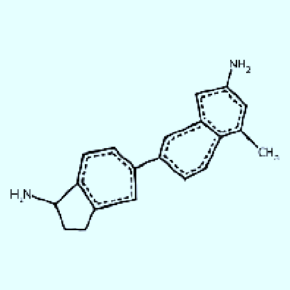 Cc1cc(N)cc2cc(-c3ccc4c(c3)CCC4N)ccc12